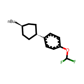 CCCC[C@H]1CC[C@H](c2ccc(OC(F)F)cc2)CC1